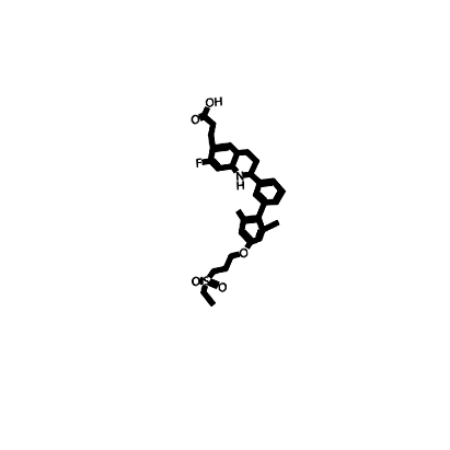 CCS(=O)(=O)CCCOc1cc(C)c(-c2cccc(C3CCC4C=C(CCC(=O)O)C(F)=CC4N3)c2)c(C)c1